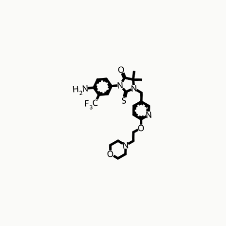 CC1(C)C(=O)N(c2ccc(N)c(C(F)(F)F)c2)C(=S)N1Cc1ccc(OCCN2CCOCC2)nc1